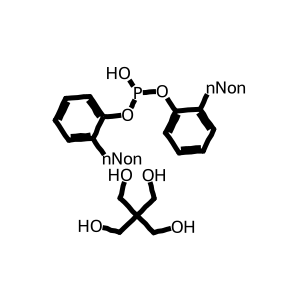 CCCCCCCCCc1ccccc1OP(O)Oc1ccccc1CCCCCCCCC.OCC(CO)(CO)CO